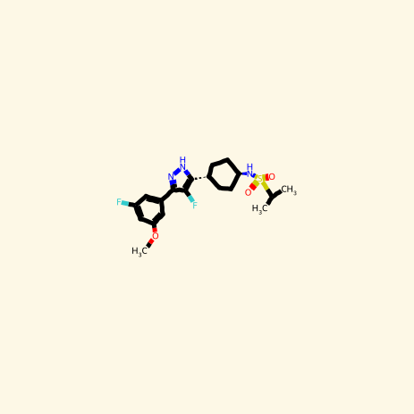 COc1cc(F)cc(-c2n[nH]c([C@H]3CC[C@H](NS(=O)(=O)C(C)C)CC3)c2F)c1